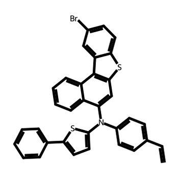 C=Cc1ccc(N(c2ccc(-c3ccccc3)s2)c2cc3sc4ccc(Br)cc4c3c3ccccc23)cc1